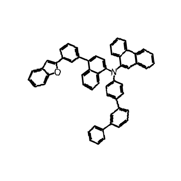 c1ccc(-c2cccc(-c3ccc(N(c4ccc(-c5cccc(-c6cc7ccccc7o6)c5)c5ccccc45)c4cc5ccccc5c5ccccc45)cc3)c2)cc1